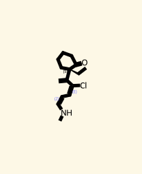 C=C(/C(Cl)=C\C=C/NC)[C@]1(CC)CCCCC1=O